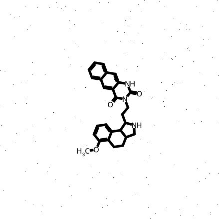 COc1cccc2c1CCC1CNC(CCn3c(=O)[nH]c4cc5ccccc5cc4c3=O)C21